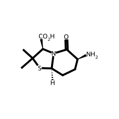 CC1(C)S[C@@H]2CC[C@H](N)C(=O)N2[C@@H]1C(=O)O